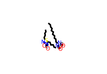 CCCCCC(N=C=O)SC(CCCCC)N=C=O.CCCCCCCCCCCC(N=C=O)N=C=O